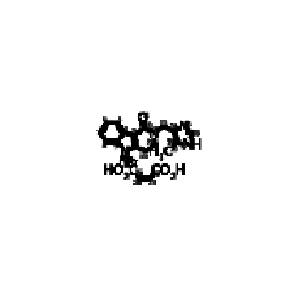 CCCn1c2c(c3ccccc31)C(=O)N(Cc1nc[nH]c1C)CC2.O=C(O)/C=C\C(=O)O